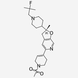 CC(C)(F)CN1CCC([C@@]2(C)Cc3cc(C4=CCN(S(C)(=O)=O)CC4)ncc3O2)CC1